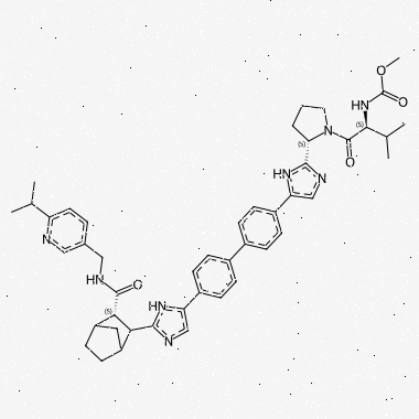 COC(=O)N[C@H](C(=O)N1CCC[C@H]1c1ncc(-c2ccc(-c3ccc(-c4cnc(C5C6CCC(C6)[C@@H]5C(=O)NCc5ccc(C(C)C)nc5)[nH]4)cc3)cc2)[nH]1)C(C)C